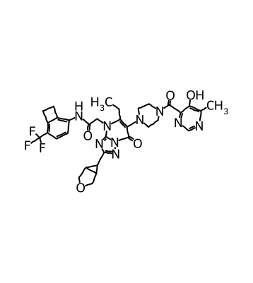 CCc1c(N2CCN(C(=O)c3ncnc(C)c3O)CC2)c(=O)n2nc(C3C4COCC43)nc2n1CC(=O)Nc1ccc(C(F)(F)F)c2c1CC2